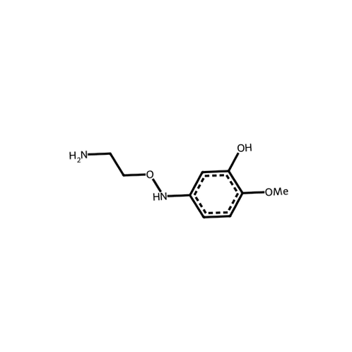 COc1ccc(NOCCN)cc1O